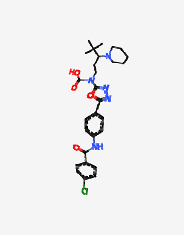 CC(C)(C)C(CCN(C(=O)O)c1nnc(-c2ccc(NC(=O)c3ccc(Cl)cc3)cc2)o1)N1CCCCC1